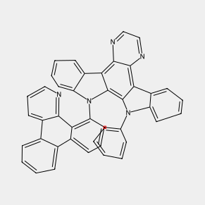 c1ccc(-n2c3ccccc3c3c4nccnc4c4c5ccccc5n(-c5cccc6c7ccccc7c7cccnc7c56)c4c32)cc1